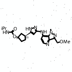 COCc1nn(C)c2c(Nc3cc([C@H]4CC[C@@H](OC(=O)NC(C)C)C4)[nH]n3)ccnc12